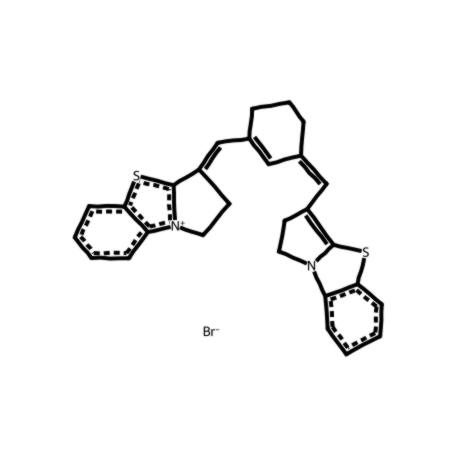 C1=C(C=C2CC[n+]3c2sc2ccccc23)CCCC1=CC1=C2Sc3ccccc3N2CC1.[Br-]